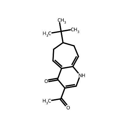 CC(=O)c1c[nH]c2c(c1=O)=CCC(C(C)(C)C)CC=2